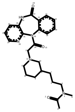 CC(=O)N(C)CCCC1CCCN(CC(=O)N2c3ccccc3C(=O)Nc3cccnc32)C1